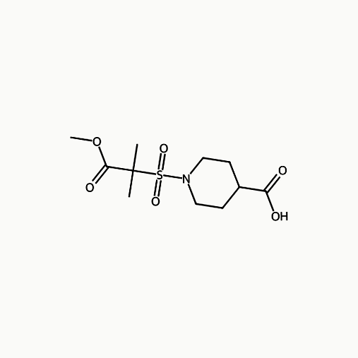 COC(=O)C(C)(C)S(=O)(=O)N1CCC(C(=O)O)CC1